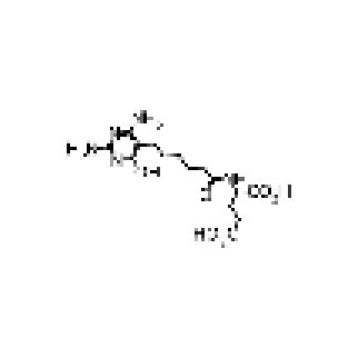 Nc1nc(N)c(CCCCCC(=O)N[C@@H](CCC(=O)O)C(=O)O)c(O)n1